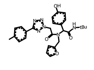 Cc1ccc(-c2nnn(CC(=O)N(Cc3ccco3)C(C(=O)NC(C)(C)C)c3ccc(O)cc3)n2)cc1